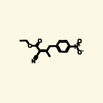 CCOC(=O)C(C#N)=C(C)Cc1ccc([N+](=O)[O-])cc1